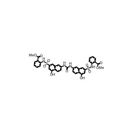 COC(=O)c1ccccc1NS(=O)(=O)c1cc(O)c2ccc(NC(=O)Nc3ccc4c(O)cc(S(=O)(=O)Nc5ccccc5C(=O)OC)cc4c3)cc2c1